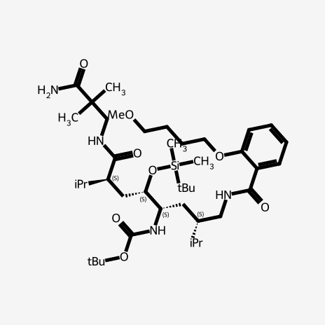 COCCCCOc1ccccc1C(=O)NC[C@@H](C[C@H](NC(=O)OC(C)(C)C)[C@H](C[C@H](C(=O)NCC(C)(C)C(N)=O)C(C)C)O[Si](C)(C)C(C)(C)C)C(C)C